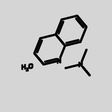 CN(C)C.O.c1ccc2ncccc2c1